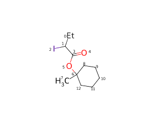 CCC(I)C(=O)OC1(C)CCCCC1